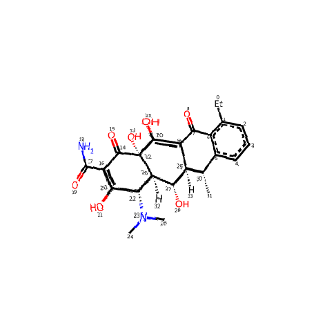 CCc1cccc2c1C(=O)C1=C(O)[C@]3(O)C(=O)C(C(N)=O)=C(O)[C@@H](N(C)C)[C@@H]3[C@@H](O)[C@@H]1[C@H]2C